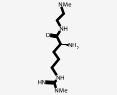 CNCCNC(=O)[C@@H](N)CCCNC(=N)NC